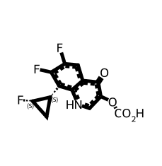 O=C(O)Oc1c[nH]c2c([C@@H]3C[C@@H]3F)c(F)c(F)cc2c1=O